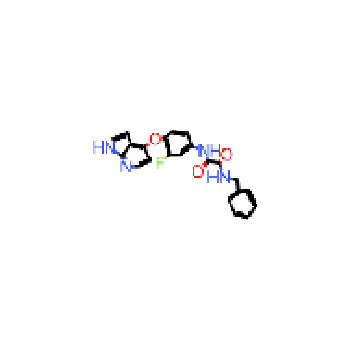 O=C(NCc1ccccc1)C(=O)Nc1ccc(Oc2ccnc3[nH]ccc23)c(F)c1